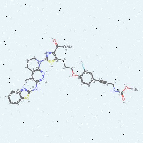 COC(=O)c1nc(N2CCCc3c2nnc(Nc2nc4ccccc4s2)c3C)sc1CCCOc1ccc(C#CCNC(=O)OC(C)(C)C)cc1F